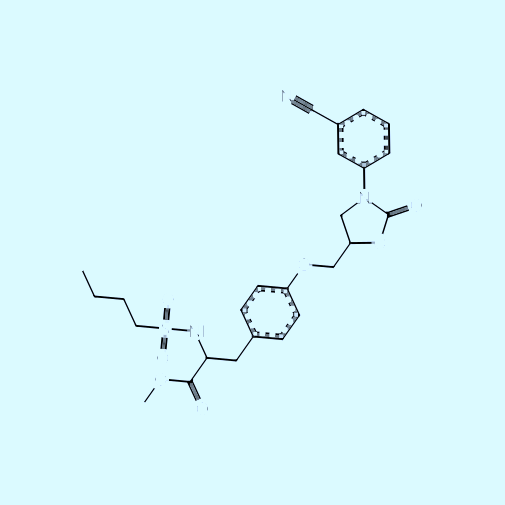 CCCCS(=O)(=O)NC(Cc1ccc(OCC2CN(c3cccc(C#N)c3)C(=O)O2)cc1)C(=O)OC